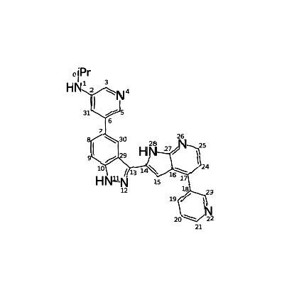 CC(C)Nc1cncc(-c2ccc3[nH]nc(-c4cc5c(-c6cccnc6)ccnc5[nH]4)c3c2)c1